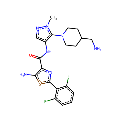 Cn1ncc(NC(=O)c2nc(-c3c(F)cccc3F)sc2N)c1N1CCC(CN)CC1